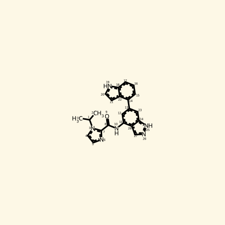 CC(C)n1ccnc1C(=O)Nc1cc(-c2cccc3[nH]ccc23)cc2[nH]ncc12